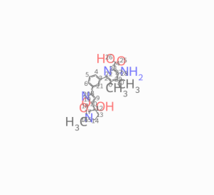 Cc1c(-c2cccc(-c3cc([C@]4(O)CCN(C)C4=O)on3)c2)nc(C(=O)O)c(N)c1C